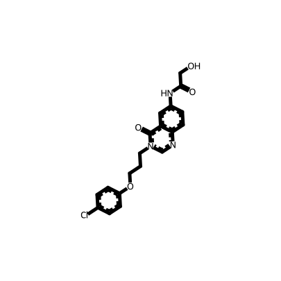 O=C(CO)Nc1ccc2ncn(CCCOc3ccc(Cl)cc3)c(=O)c2c1